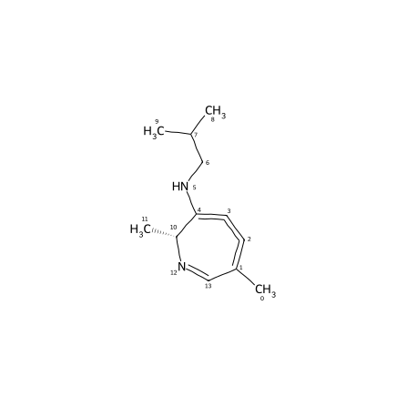 CC1=C=C=C(NCC(C)C)[C@@H](C)N=C1